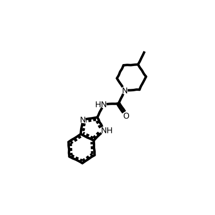 CC1CCN(C(=O)Nc2nc3ccccc3[nH]2)CC1